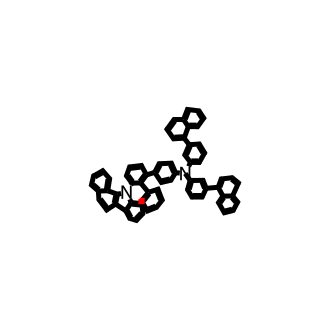 c1ccc(-c2c(-c3ccc(N(c4cccc(-c5cccc6ccccc56)c4)c4cccc(-c5cccc6ccccc56)c4)cc3)cccc2-n2c3ccccc3c3ccc4ccccc4c32)cc1